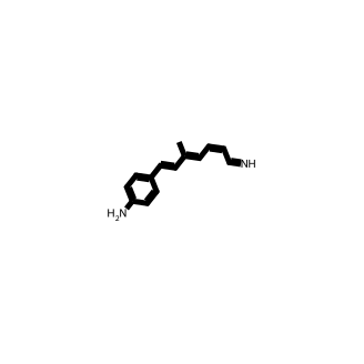 CC(/C=C/c1ccc(N)cc1)=C\C=C/C=N